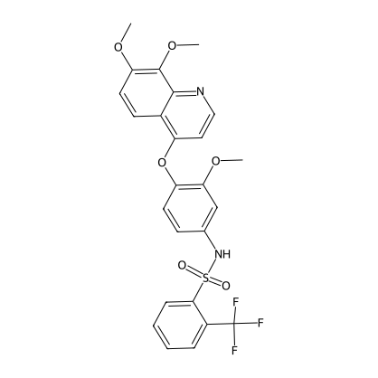 COc1cc(NS(=O)(=O)c2ccccc2C(F)(F)F)ccc1Oc1ccnc2c(OC)c(OC)ccc12